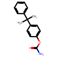 CC(C)(c1ccccc1)c1ccc(OC(N)=O)cc1